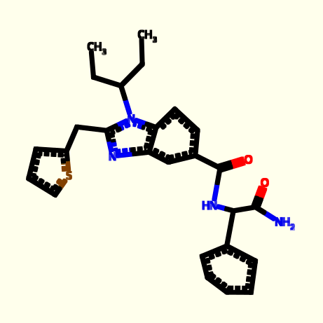 CCC(CC)n1c(Cc2cccs2)nc2cc(C(=O)NC(C(N)=O)c3ccccc3)ccc21